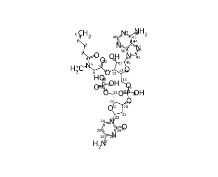 C=CCCC(=O)N(C)CC(=O)OC1C(COP(=O)(O)O[C@H]2C[C@H](n3ccc(N)nc3=O)O[C@@H]2COP(=O)(O)O)OC(n2cnc3c(N)ncnc32)C1O